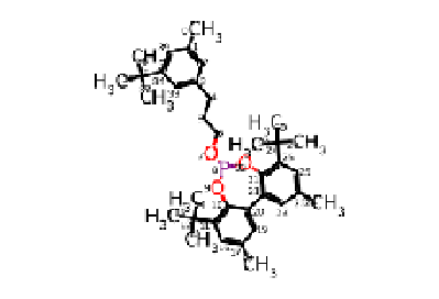 Cc1cc(CCCOp2oc3c(C(C)(C)C)cc(C)cc3c3cc(C)cc(C(C)(C)C)c3o2)cc(C(C)(C)C)c1